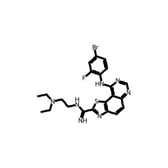 CCN(CC)CCNC(=N)c1nc2ccc3ncnc(Nc4ccc(Br)cc4F)c3c2s1